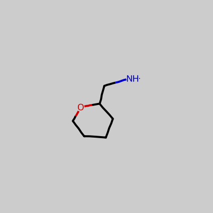 [NH]CC1CCCCO1